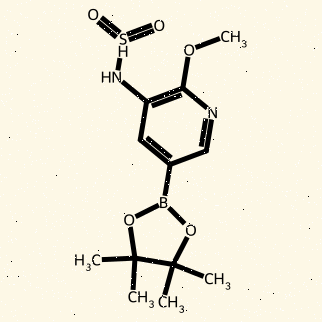 COc1ncc(B2OC(C)(C)C(C)(C)O2)cc1N[SH](=O)=O